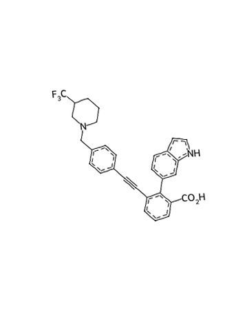 O=C(O)c1cccc(C#Cc2ccc(CN3CCCC(C(F)(F)F)C3)cc2)c1-c1ccc2cc[nH]c2c1